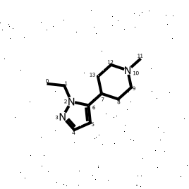 CCn1nccc1C1CCN(C)CC1